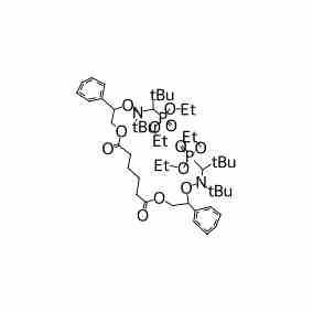 CCOP(=O)(OCC)C(N(OC(COC(=O)CCCCC(=O)OCC(ON(C(C(C)(C)C)P(=O)(OCC)OCC)C(C)(C)C)c1ccccc1)c1ccccc1)C(C)(C)C)C(C)(C)C